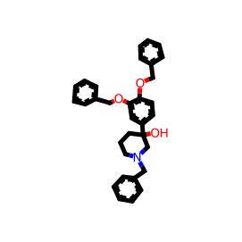 OC1(c2ccc(OCc3ccccc3)c(OCc3ccccc3)c2)CCCN(Cc2ccccc2)C1